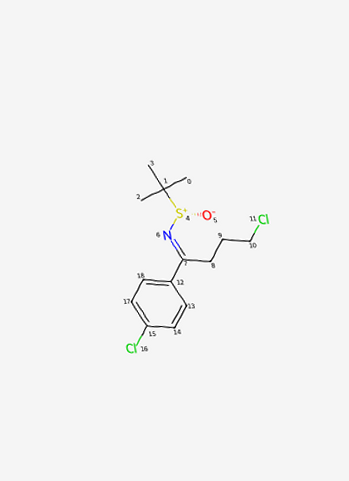 CC(C)(C)[S@+]([O-])N=C(CCCCl)c1ccc(Cl)cc1